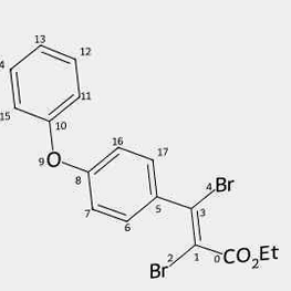 CCOC(=O)C(Br)=C(Br)c1ccc(Oc2ccccc2)cc1